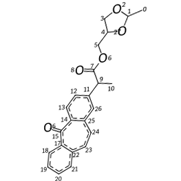 CC1OCC(COC(=O)C(C)c2ccc3c(=O)c4ccccc4ccc3c2)O1